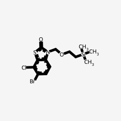 C[Si](C)(C)CCOCn1c(=O)sc2c(Cl)c(Br)ccc21